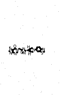 Cn1cnc2ncn(Cc3nc([C@@H]4[C@@H]5CN(c6ccc7ncsc7c6)C[C@@H]54)no3)c(=O)c21